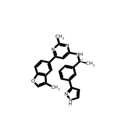 Cc1nc(N[C@@H](C)c2cccc(-c3cc[nH]n3)c2)cc(-c2ccc3occ(C)c3c2)n1